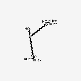 CCCCCCCCC(CCCCCC)C(=O)OCCCCCCCCCCCCN(CCCCO)CCCCCCCCCCCCOC(O)C(CCCCCC)CCCCCCCC